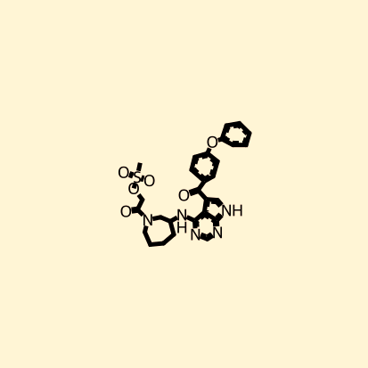 CS(=O)(=O)OCC(=O)N1CCCCC(Nc2ncnc3[nH]cc(C(=O)c4ccc(Oc5ccccc5)cc4)c23)C1